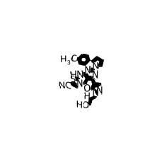 Cc1ccc([C@@H]2CCCN2c2nc(Nc3ncc(C#N)s3)c(CO)c(-c3cnn(CCCO)c3)n2)cc1